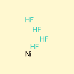 F.F.F.F.[Ni]